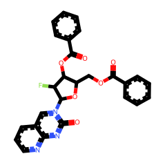 O=C(OCC1OC(n2cc3cccnc3nc2=O)C(F)C1OC(=O)c1ccccc1)c1ccccc1